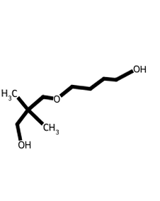 CC(C)(CO)COCCCCO